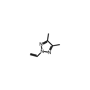 C=Cn1nc(C)c(C)n1